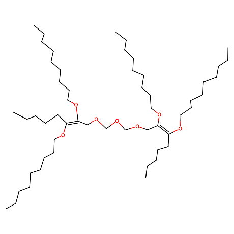 CCCCCCCCCOC(CCCCC)=C(COCOCOCC(OCCCCCCCCC)=C(CCCCC)OCCCCCCCCC)OCCCCCCCCC